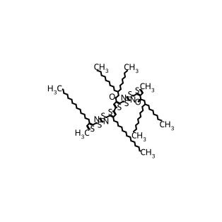 CCCCCCCCCCCCCCc1cc(C)sc1-c1nc2sc(-c3sc(-c4cc(C(=O)CC(CCCCCCCC)CCCCCCCCCC)c(-c5nc6sc(-c7sc(C)cc7C(=O)CC(CCCCCCCC)CCCCCCCCCC)nc6s5)s4)cc3CCCCCCCCCCCCCC)nc2s1